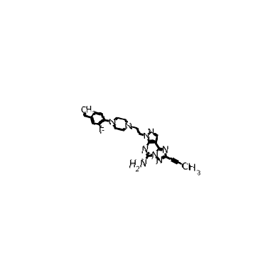 C=Cc1ccc(N2CCN(CCn3ncc4c3nc(N)n3nc(C#CC)nc43)CC2)c(F)c1